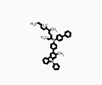 C=C/C(=C\C=C(/C)C(C)/C=C\C=C/C)N(c1ccc(-c2ccccc2)cc1)c1ccc(-c2cc3c4ccccc4n(-c4ccccc4)c3cc2C)cc1